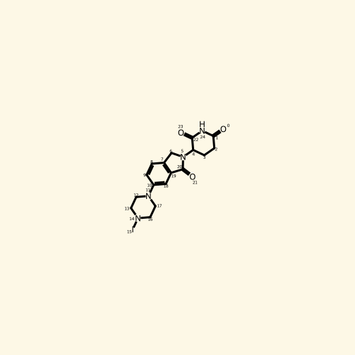 O=C1CCC(N2Cc3ccc(N4CCN(I)CC4)cc3C2=O)C(=O)N1